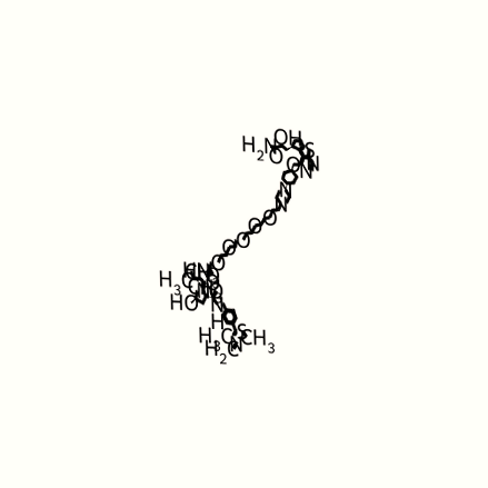 C=N/C(C)=C(\SC)c1ccc(CNC(=O)[C@@H]2C[C@@H](O)CN2C(=O)[C@@H](NC(=O)COCCOCCOCCOCCOCCN2CCN([C@H]3CC[C@H](Oc4ncnc5sc6c(c45)[C@@H](C[C@H](O)C(N)=O)CC6)CC3)CC2)C(C)(C)C)cc1